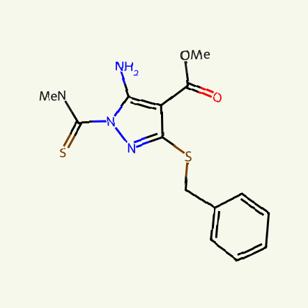 CNC(=S)n1nc(SCc2ccccc2)c(C(=O)OC)c1N